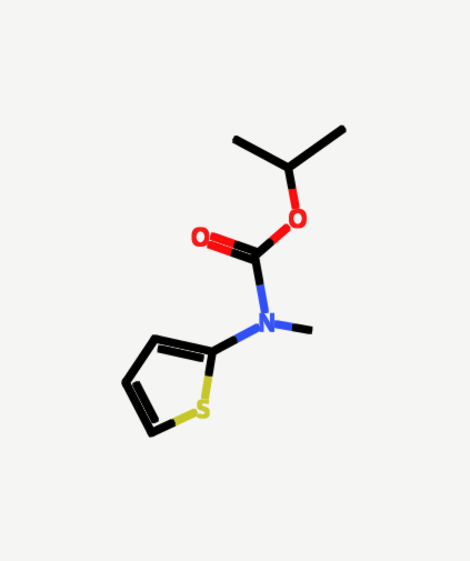 CC(C)OC(=O)N(C)c1cccs1